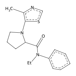 CCN(C(=O)C1CCCN1c1scnc1C)c1ccccc1